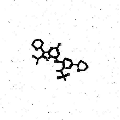 CN(c1cc(C2CCCCO2)ccc1Nc1cc(Cl)nc2c1nc(C(F)F)n2C1CCCCO1)S(C)(=O)=O